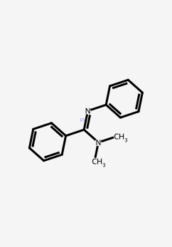 CN(C)/C(=N\c1ccccc1)c1ccccc1